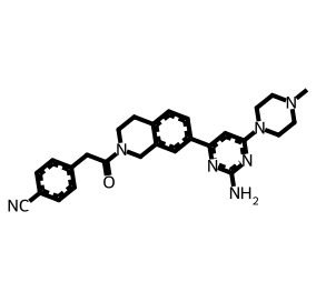 CN1CCN(c2cc(-c3ccc4c(c3)CN(C(=O)Cc3ccc(C#N)cc3)CC4)nc(N)n2)CC1